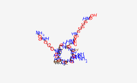 N=C(N)NCCC[C@@H]1NC(=O)[C@H](CS)NC(=O)[C@H](CCCCNC(=O)COCC(=O)NCCOCCOCCOCCOCCOCCNC(=O)CO)NC(=O)CSCC(C(=O)NCCOCCOCCOCCNC(=O)COCCN)NC(=O)[C@H](Cc2ccccc2)NC(=O)[C@H](CS)NC(=O)[C@H](CC(=O)O)NC(=O)CNC1=O